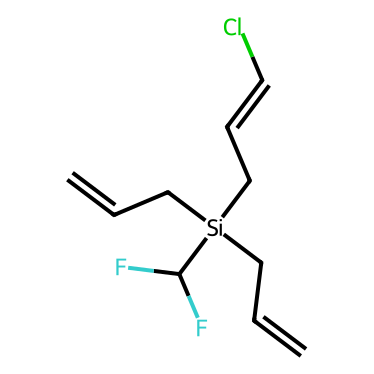 C=CC[Si](CC=C)(CC=CCl)C(F)F